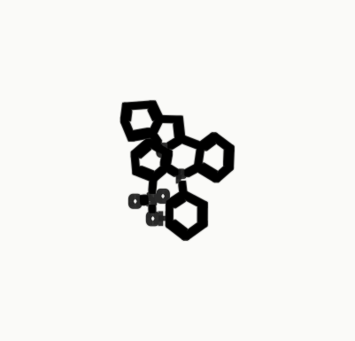 O=S(=O)(O)c1ccccc1P(c1ccccc1)c1ccccc1-c1cc2ccccc2o1